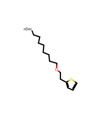 CCCCCCCCCCCCCCCCCCOCCc1cccs1